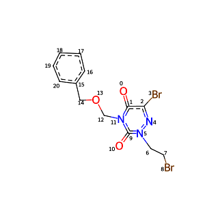 O=c1c(Br)nn(CCBr)c(=O)n1COCc1ccccc1